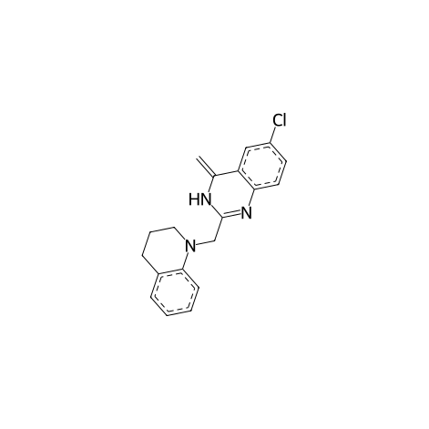 C=C1NC(CN2CCCc3ccccc32)=Nc2ccc(Cl)cc21